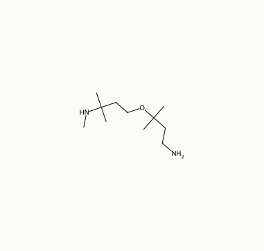 CNC(C)(C)CCOC(C)(C)CCN